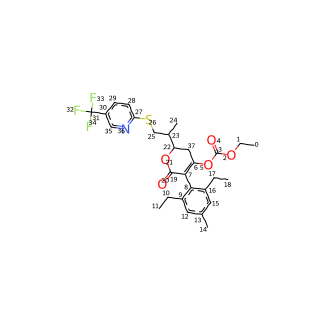 CCOC(=O)OC1=C(c2c(CC)cc(C)cc2CC)C(=O)OC(C(C)CSc2ccc(C(F)(F)F)cn2)C1